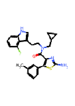 Cc1cccc(-c2sc(N)nc2C(=O)N(CCc2c[nH]c3cccc(F)c23)CC2CC2)c1